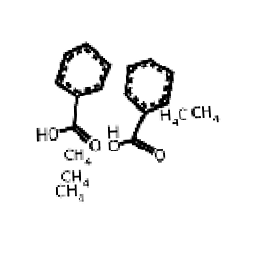 C.C.C.C.C.O=C(O)c1ccccc1.O=C(O)c1ccccc1